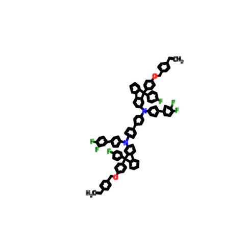 C=Cc1ccc(COc2ccc(C3(c4ccc(F)cc4)c4ccccc4-c4ccc(N(c5ccc(-c6ccc(N(c7ccc(-c8ccc(F)c(F)c8)cc7)c7ccc8c(c7)C(c7ccc(F)cc7)(c7ccc(OCc9ccc(C=C)cc9)cc7)c7ccccc7-8)cc6)cc5)c5ccc(-c6ccc(F)c(F)c6)cc5)cc43)cc2)cc1